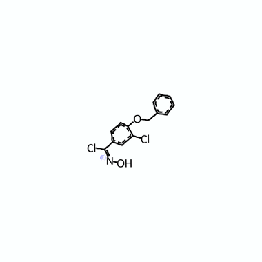 O/N=C(/Cl)c1ccc(OCc2ccccc2)c(Cl)c1